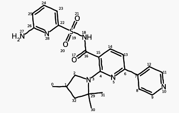 CC1CN(c2nc(-c3ccncc3)ccc2C(=O)NS(=O)(=O)c2cccc(N)n2)C(C)(C)C1